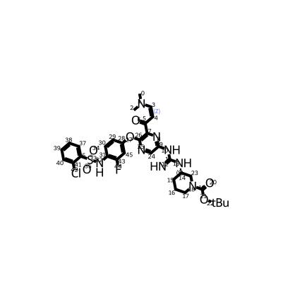 CN(C)/C=C\C(=O)c1nc(NC(=N)N[C@H]2CCCN(C(=O)OC(C)(C)C)C2)cnc1Oc1ccc(NS(=O)(=O)c2ccccc2Cl)c(F)c1